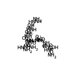 CC(C)[C@H](NC(=O)CNC(=O)CNC(=O)[C@@H](NC(=O)CN)[C@@H](C)O)C(=O)NCC(=O)N[C@@H](CC(N)=O)C(=O)N[C@@H](CCCNC(=N)N)C(=O)N[C@@H](C)C(=O)N1CCC[C@H]1C(=O)N[C@@H](CCCNC(=N)N)C(=O)O